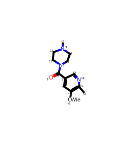 COc1cc(C(=O)N2CCN(C)CC2)cnc1C